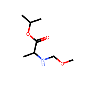 COCNC(C)C(=O)OC(C)C